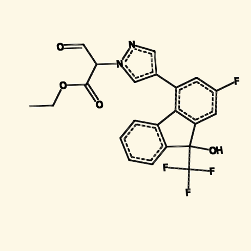 CCOC(=O)C(C=O)n1cc(-c2cc(F)cc3c2-c2ccccc2C3(O)C(F)(F)F)cn1